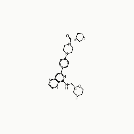 O=C([C@@H]1CCOC1)N1CCN(c2ccc(-c3cc4nccnc4c(NC[C@@H]4CNCCO4)n3)cc2)CC1